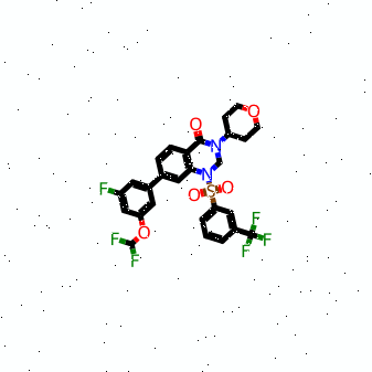 O=C1c2ccc(-c3cc(F)cc(OC(F)F)c3)cc2N(S(=O)(=O)c2cccc(C(F)(F)F)c2)CN1C1CCOCC1